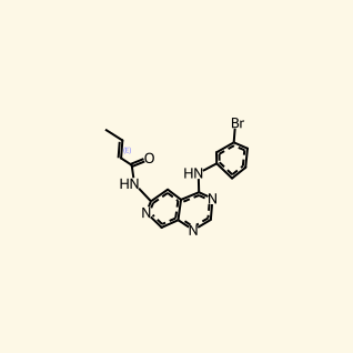 C/C=C/C(=O)Nc1cc2c(Nc3cccc(Br)c3)ncnc2cn1